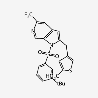 CC(C)(C)c1cccc(S(=O)(=O)n2c(Cc3csc(C(=O)O)c3)cc3cc(C(F)(F)F)ncc32)c1